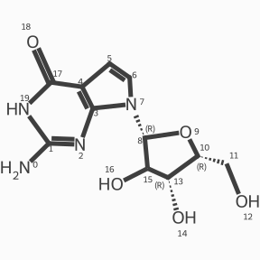 Nc1nc2c(ccn2[C@@H]2O[C@H](CO)[C@H](O)C2O)c(=O)[nH]1